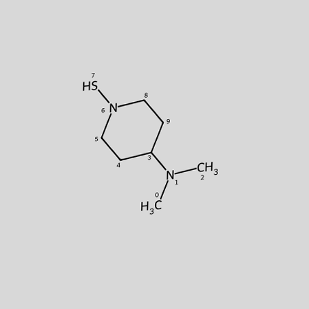 CN(C)C1CCN(S)CC1